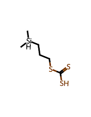 C[SiH](C)CCCSC(=S)S